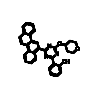 Oc1ccccc1-c1nc(OC2CCOCC2)nc(-c2cc3c4ccccc4ccc3c3ccccc23)n1